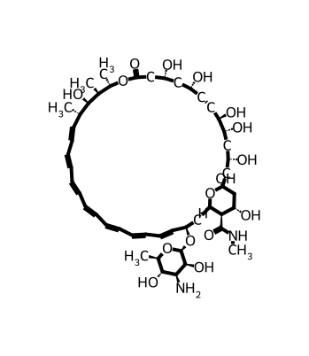 CNC(=O)[C@H]1[C@@H]2C[C@@H](O[C@@H]3O[C@H](C)[C@@H](O)[C@H](N)[C@@H]3O)/C=C/C=C/C=C/C=C/C=C/C=C/C=C/[C@H](C)[C@@H](O)[C@@H](C)[C@H](C)OC(=O)C[C@H](O)C[C@H](O)CC[C@@H](O)[C@H](O)C[C@H](O)C[C@](O)(C[C@@H]1O)O2